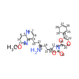 COc1ccc2nccc(CC[C@H](N)CC[C@H]3CN(C4=COC=C(C5=CC=CCC5)O4)C(=O)O3)c2n1